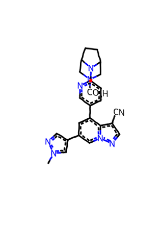 Cn1cc(-c2cc(-c3ccc(N4C5CCC4CN(C(=O)O)C5)nc3)c3c(C#N)cnn3c2)cn1